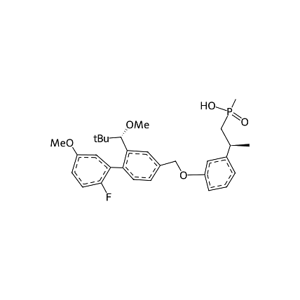 COc1ccc(F)c(-c2ccc(COc3cccc([C@H](C)CP(C)(=O)O)c3)cc2[C@@H](OC)C(C)(C)C)c1